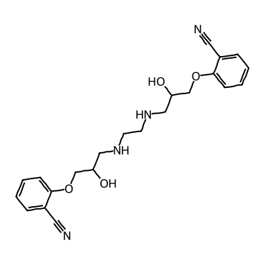 N#Cc1ccccc1OCC(O)CNCCNCC(O)COc1ccccc1C#N